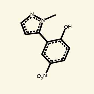 Cn1nccc1-c1cc([N+](=O)[O-])ccc1O